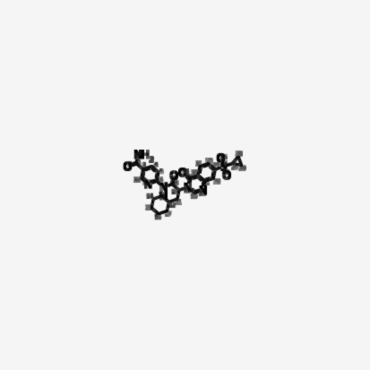 NC(=O)c1ccc(NC(=O)C(CC2CCCCC2)n2cnc3cc(S(=O)(=O)C4CC4)ccc3c2=O)nc1